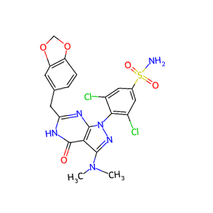 CN(C)c1nn(-c2c(Cl)cc(S(N)(=O)=O)cc2Cl)c2nc(Cc3ccc4c(c3)OCO4)[nH]c(=O)c12